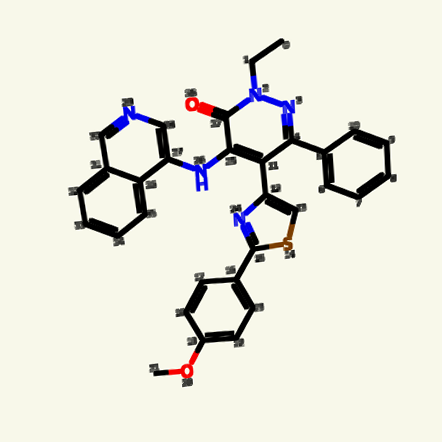 CCn1nc(-c2ccccc2)c(-c2csc(-c3ccc(OC)cc3)n2)c(Nc2cncc3ccccc23)c1=O